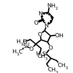 CCC(CC)[SiH2]OC1C(O)C(n2ccc(N)nc2=O)OC1C(CC)(CC)O[SiH2]C